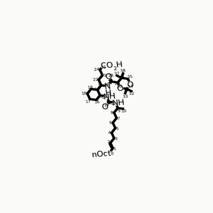 CCCCCCCCC=CCCCCCCC(C)NC(=O)NC1CCCCC1C(CCCC(=O)O)NC(=O)C1OC(C)(C)OCC1(C)C